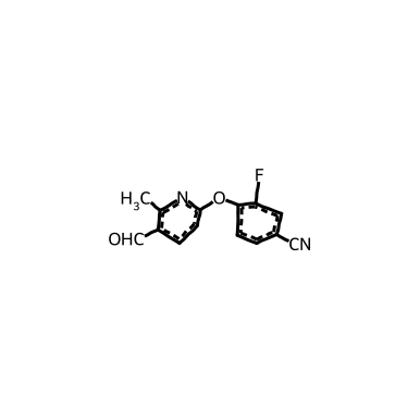 Cc1nc(Oc2ccc(C#N)cc2F)ccc1C=O